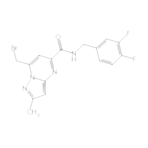 Cc1cc2nc(C(=O)NCc3ccc(F)c(F)c3)cc(CBr)n2n1